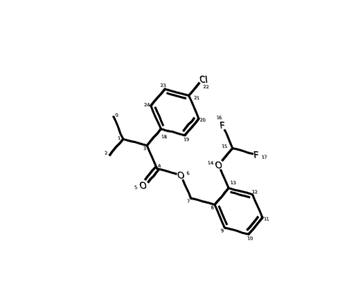 CC(C)C(C(=O)OCc1ccccc1OC(F)F)c1ccc(Cl)cc1